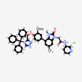 COc1cc(-c2cc(C(F)(F)F)cc3c2n(C)c(=O)n3CC(=O)Nc2cccnc2F)cc(F)c1OCc1nncn1C(c1ccccc1)(c1ccccc1)c1ccccc1